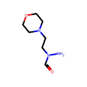 NN(C=O)CCN1CCOCC1